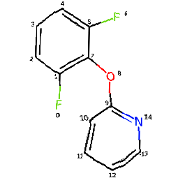 Fc1cccc(F)c1Oc1ccc[c]n1